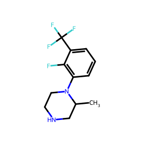 CC1CNCCN1c1cccc(C(F)(F)F)c1F